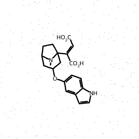 CN1C2CCC1(/C(=C\C(=O)O)C(=O)O)CC(Oc1ccc3[nH]ccc3c1)C2